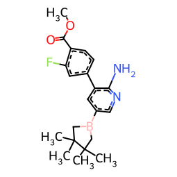 COC(=O)c1ccc(-c2cc(B3CC(C)(C)C(C)(C)C3)cnc2N)cc1F